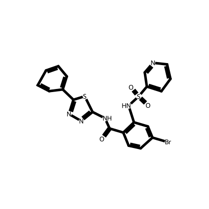 O=C(Nc1nnc(-c2ccccc2)s1)c1ccc(Br)cc1NS(=O)(=O)c1cccnc1